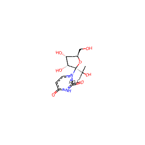 CC(O)(C(=O)O)[C@@]1(n2ccc(=O)[nH]c2=O)O[C@H](CO)[C@@H](O)[C@H]1O